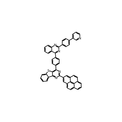 c1cncc(-c2ccc(-c3nc(-c4ccc(-c5nc(-c6cc7ccc8cccc9ccc(c6)c7c89)nc6c5sc5ccccc56)cc4)c4ccccc4n3)cc2)c1